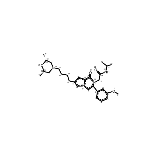 COc1cccc(-c2cn3cc(CCCCN4C[C@@H](C)O[C@H](C)C4)cc3c(=O)n2CC(=O)NC(C)C)c1